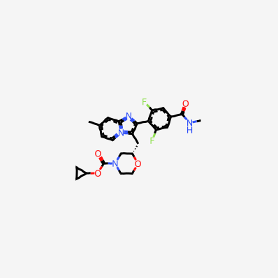 CNC(=O)c1cc(F)c(-c2nc3cc(C)ccn3c2C[C@H]2CN(C(=O)OC3CC3)CCO2)c(F)c1